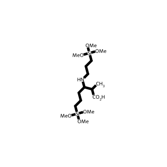 CO[Si](CCCNC(CCC[Si](OC)(OC)OC)C(C)C(=O)O)(OC)OC